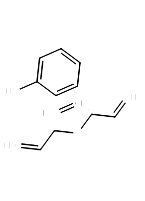 C=C.C=CCOCC=C.Oc1ccccc1